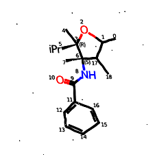 CC1O[C@](C)(C(C)C)[C@@](C)(NC(=O)c2ccccc2)C1C